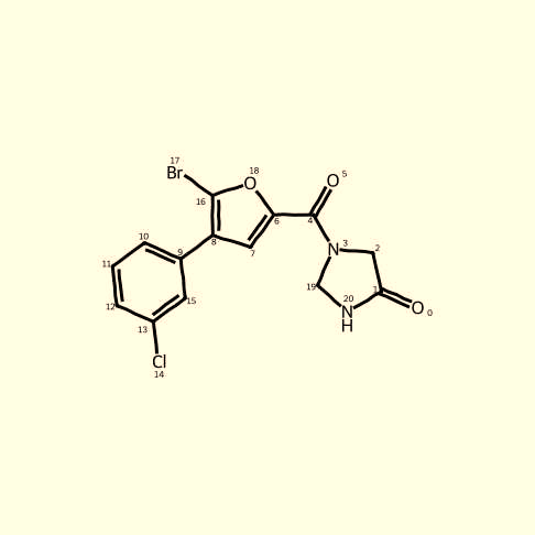 O=C1CN(C(=O)c2cc(-c3cccc(Cl)c3)c(Br)o2)CN1